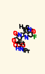 CCc1c2c(nc3cc(F)c4c(c13)N(C)CO4)-c1cc3c(c(=O)n1C2)COC(=O)[C@@]3(CC)OC(=O)NC(C)C